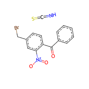 N=C=S.O=C(c1ccccc1)c1ccc(CBr)cc1[N+](=O)[O-]